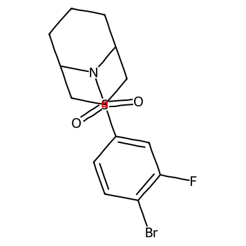 O=S(=O)(c1ccc(Br)c(F)c1)N1C2CCCC1CCC2